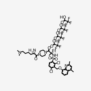 CC[C@@](C)(NS(=O)(=O)c1ccc(Cl)c(COc2cccc3c(C)cc(C)nc23)c1Cl)C(=O)N1CCN(C(=O)[C@@H](N)CCCCN(C)C)CC1.O=C(O)C(F)(F)F.O=C(O)C(F)(F)F.O=C(O)C(F)(F)F.O=C(O)C(F)(F)F